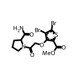 COC(=O)c1sc(Br)c(Br)c1OCC(=O)N1CCCC1C(N)=O